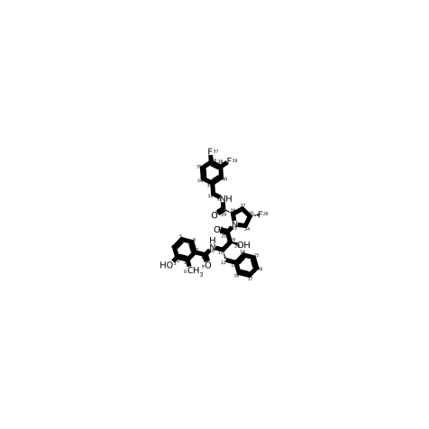 Cc1c(O)cccc1C(=O)N[C@@H](Cc1ccccc1)[C@H](O)C(=O)N1C[C@@H](F)C[C@H]1C(=O)NCc1ccc(F)c(F)c1